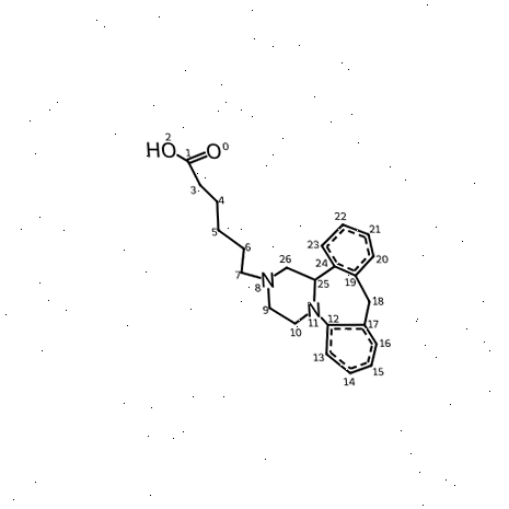 O=C(O)CCCCCN1CCN2c3ccccc3Cc3ccccc3C2C1